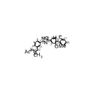 COc1cc(-c2nc(-c3cccc(CN(C)CC(C)=O)c3)no2)ccc1-c1ccccc1C